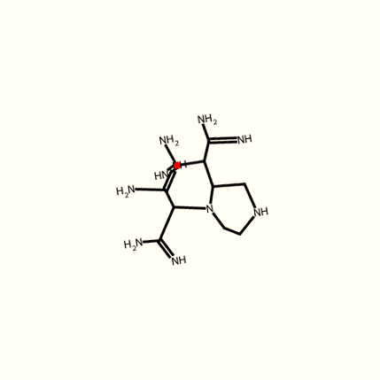 N=C(N)C(C(=N)N)C1CNCCN1C(C(=N)N)C(=N)N